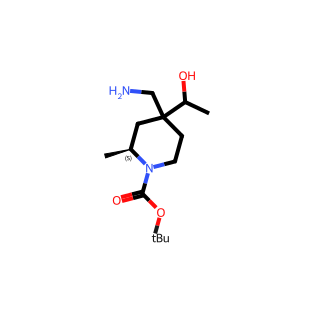 CC(O)C1(CN)CCN(C(=O)OC(C)(C)C)[C@@H](C)C1